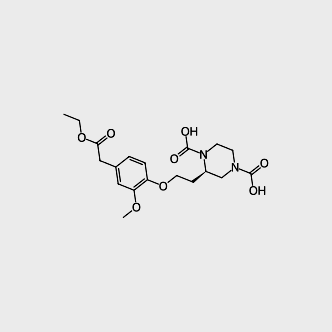 CCOC(=O)Cc1ccc(OCC[C@@H]2CN(C(=O)O)CCN2C(=O)O)c(OC)c1